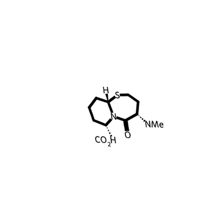 CN[C@H]1CCS[C@H]2CCC[C@@H](C(=O)O)N2C1=O